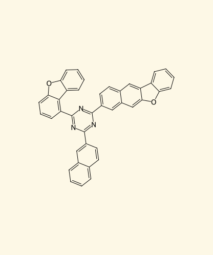 c1ccc2cc(-c3nc(-c4ccc5cc6c(cc5c4)oc4ccccc46)nc(-c4cccc5oc6ccccc6c45)n3)ccc2c1